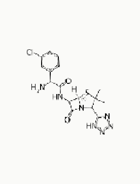 CC1(C)S[C@@H]2C(NC(=O)C(N)c3cccc(Cl)c3)C(=O)N2C1c1nnn[nH]1